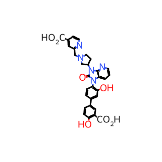 O=C(O)c1ccnc(CN2CCC(n3c(=O)n(-c4ccc(-c5ccc(O)c(C(=O)O)c5)cc4O)c4cccnc43)C2)c1